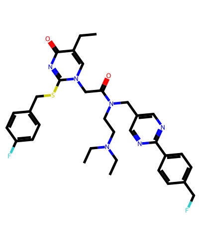 CCc1cn(CC(=O)N(CCN(CC)CC)Cc2cnc(-c3ccc(CF)cc3)nc2)c(SCc2ccc(F)cc2)nc1=O